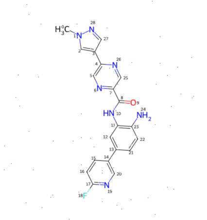 Cn1cc(-c2cnc(C(=O)Nc3cc(-c4ccc(F)nc4)ccc3N)cn2)cn1